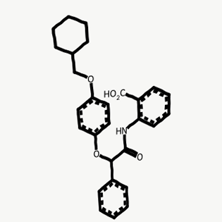 O=C(O)c1ccccc1NC(=O)C(Oc1ccc(OCC2CCCCC2)cc1)c1ccccc1